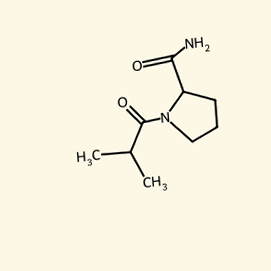 CC(C)C(=O)N1CCCC1C(N)=O